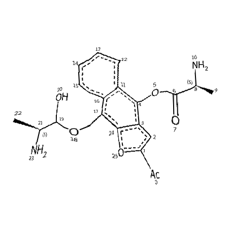 CC(=O)c1cc2c(OC(=O)[C@H](C)N)c3ccccc3c(OC(O)[C@H](C)N)c2o1